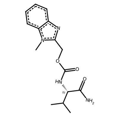 CC(C)[C@H](NC(=O)OCc1nc2ccccc2n1C)C(N)=O